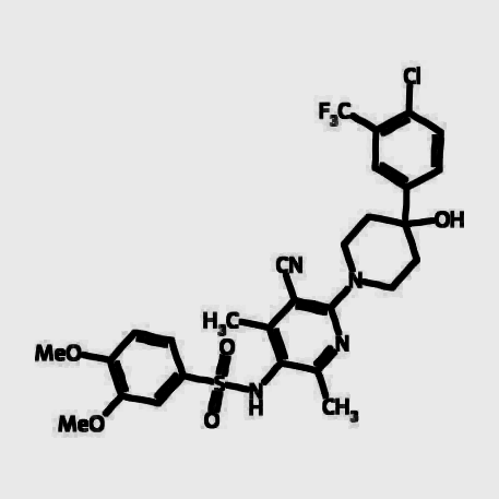 COc1ccc(S(=O)(=O)Nc2c(C)nc(N3CCC(O)(c4ccc(Cl)c(C(F)(F)F)c4)CC3)c(C#N)c2C)cc1OC